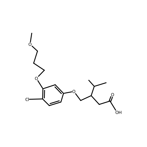 COCCCOc1cc(OCC(CC(=O)O)C(C)C)ccc1Cl